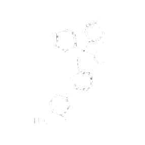 Cc1ccc(-c2ccc3c(c2)CC(c2ccccc2)(c2ccccc2)C=C3)cc1